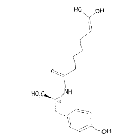 O=C(CCCCC=C(O)O)N[C@@H](Cc1ccc(O)cc1)C(=O)O